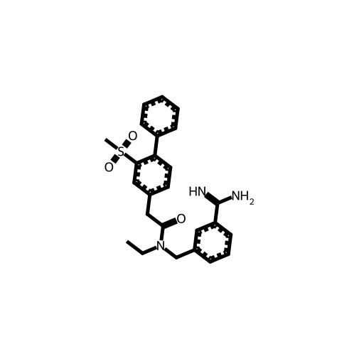 CCN(Cc1cccc(C(=N)N)c1)C(=O)Cc1ccc(-c2ccccc2)c(S(C)(=O)=O)c1